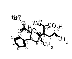 C=CCC(C(=O)N(C)C[C@H](NC(=O)OC(C)(C)C)c1ccccc1)[C@H](C(=O)O)C(C)(C)C